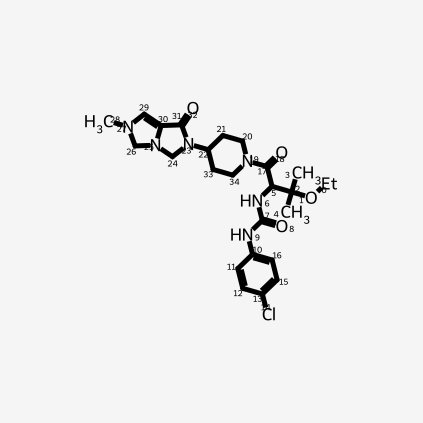 CCOC(C)(C)C(NC(=O)Nc1ccc(Cl)cc1)C(=O)N1CCC(N2CN3CN(C)C=C3C2=O)CC1